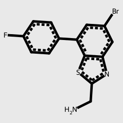 NCc1nc2cc(Br)cc(-c3ccc(F)cc3)c2s1